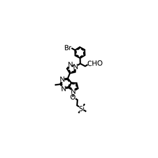 Cc1nc(-c2cnn(C(CC=O)c3cccc(Br)c3)c2)c2ccn(OCC[Si](C)(C)C)c2n1